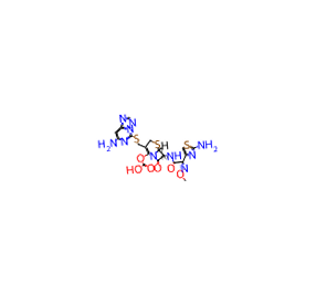 CO/N=C(\C(=O)N[C@@H]1C(=O)N2C(OC(=O)O)=C(CSc3nc(N)cc4ncnn34)CS[C@H]12)c1csc(N)n1